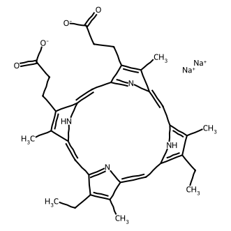 CCC1=C(C)c2cc3[nH]c(cc4nc(cc5[nH]c(cc1n2)c(C)c5CCC(=O)[O-])C(CCC(=O)[O-])=C4C)c(C)c3CC.[Na+].[Na+]